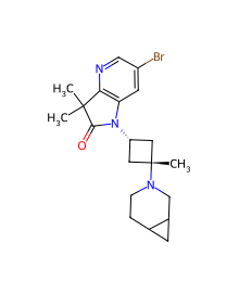 CC1(C)C(=O)N([C@H]2C[C@@](C)(N3CCC4CC4C3)C2)c2cc(Br)cnc21